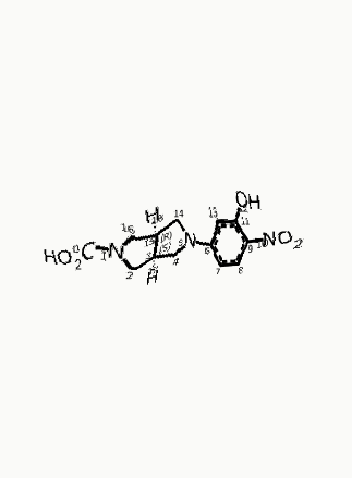 O=C(O)N1C[C@@H]2CN(c3ccc([N+](=O)[O-])c(O)c3)C[C@@H]2C1